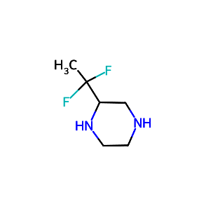 CC(F)(F)C1CNCCN1